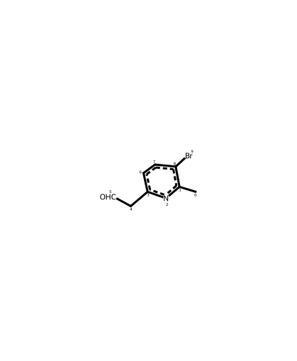 Cc1nc(CC=O)ccc1Br